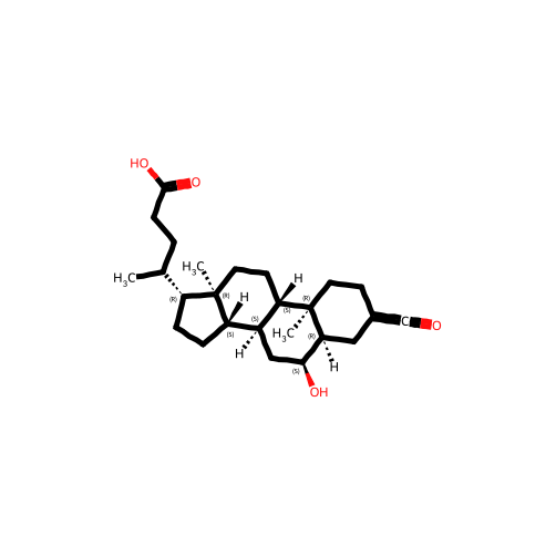 CC(CCC(=O)O)[C@H]1CC[C@H]2[C@@H]3C[C@H](O)[C@@H]4CC(=C=O)CC[C@]4(C)[C@H]3CC[C@]12C